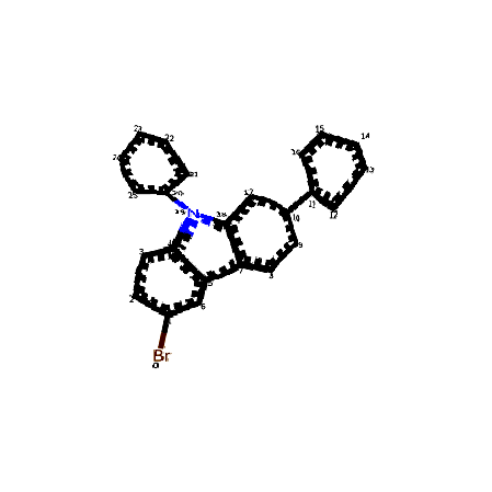 Brc1ccc2c(c1)c1ccc(-c3ccccc3)cc1n2-c1ccccc1